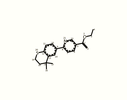 C=C(OCC)c1ccc(-c2ccc3c(c2)C(C)(C)CCS3)nc1